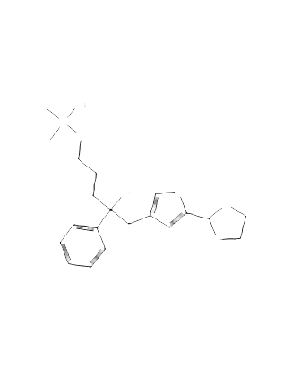 CC(C)(C)[Si](C)(C)OCCCC(O)(Cc1csc(C2OCCO2)c1)c1ccccc1